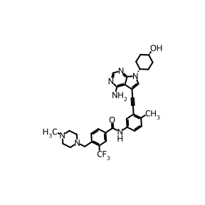 Cc1ccc(NC(=O)c2ccc(CN3CCN(C)CC3)c(C(F)(F)F)c2)cc1C#Cc1cn([C@H]2CC[C@H](O)CC2)c2ncnc(N)c12